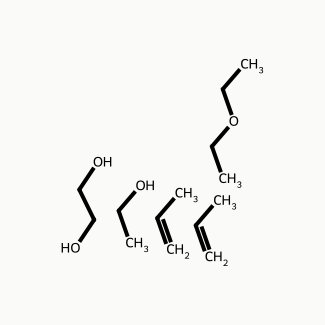 C=CC.C=CC.CCO.CCOCC.OCCO